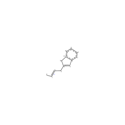 C/C=C/CC1=Cc2ccccc2C1